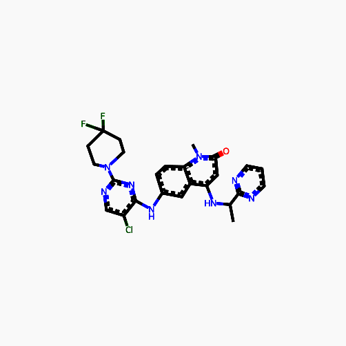 CC(Nc1cc(=O)n(C)c2ccc(Nc3nc(N4CCC(F)(F)CC4)ncc3Cl)cc12)c1ncccn1